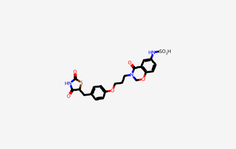 O=C1NC(=O)C(Cc2ccc(OCCCN3COc4ccc(NS(=O)(=O)O)cc4C3=O)cc2)S1